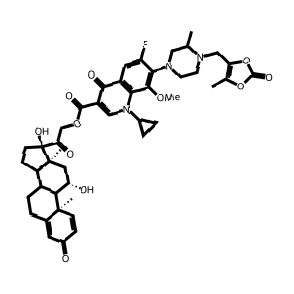 COc1c(N2CCN(Cc3oc(=O)oc3C)C(C)C2)c(F)cc2c(=O)c(C(=O)OCC(=O)[C@@]3(O)CCC4C5CCC6=CC(=O)C=C[C@]6(C)C5[C@@H](O)C[C@@]43C)cn(C3CC3)c12